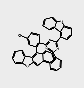 Clc1ccc(-c2nc(-c3ccccc3)nc(-c3cccc4oc5ccccc5c34)n2)c(-c2c3ccccc3cc3oc4ccccc4c23)c1